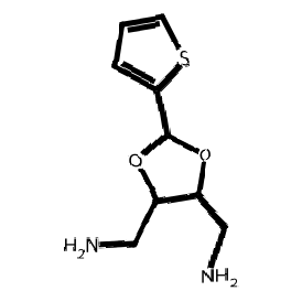 NCC1OC(c2cccs2)OC1CN